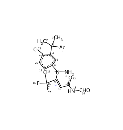 CC(=O)C(C)(C)c1cc(N(N)/C(=C\C(=O)NC=O)C(F)(F)Cl)ccc1Cl